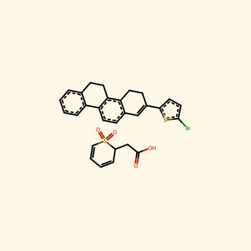 Brc1ccc(C2=Cc3ccc4c(c3CC2)CCc2ccccc2-4)s1.O=C(O)CC1C=CC=CS1(=O)=O